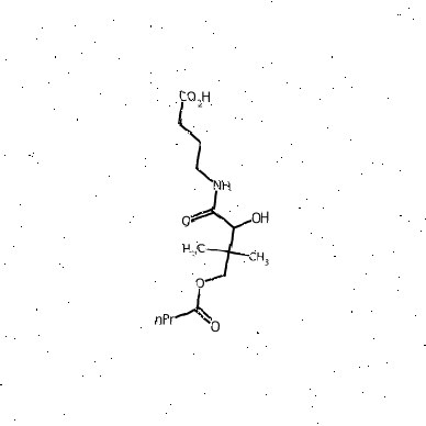 CCCC(=O)OCC(C)(C)C(O)C(=O)NCCCC(=O)O